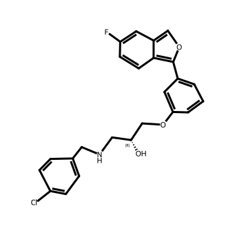 O[C@H](CNCc1ccc(Cl)cc1)COc1cccc(-c2occ3cc(F)ccc23)c1